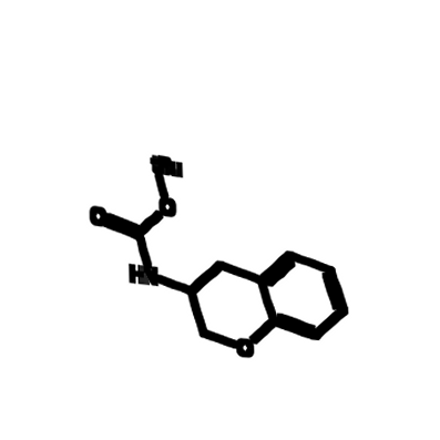 CC(C)(C)OC(=O)NC1COc2ccccc2C1